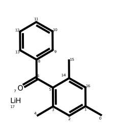 Cc1cc(C)c(C(=O)c2ccccc2)c(C)c1.[LiH]